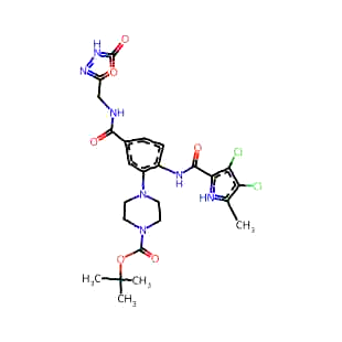 Cc1[nH]c(C(=O)Nc2ccc(C(=O)NCc3n[nH]c(=O)o3)cc2N2CCN(C(=O)OC(C)(C)C)CC2)c(Cl)c1Cl